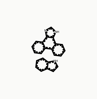 c1ccc2[nH]ccc2c1.c1ccc2c(c1)c1ccccc1c1[nH]cnc21